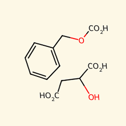 O=C(O)CC(O)C(=O)O.O=C(O)OCc1ccccc1